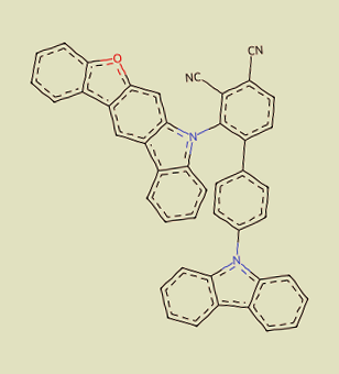 N#Cc1ccc(-c2ccc(-n3c4ccccc4c4ccccc43)cc2)c(-n2c3ccccc3c3cc4c(cc32)oc2ccccc24)c1C#N